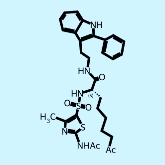 CC(=O)CCCCC[C@H](NS(=O)(=O)c1sc(NC(C)=O)nc1C)C(=O)NCCc1c(-c2ccccc2)[nH]c2ccccc12